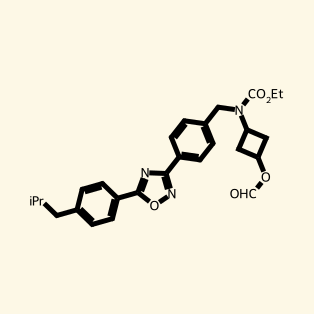 CCOC(=O)N(Cc1ccc(-c2noc(-c3ccc(CC(C)C)cc3)n2)cc1)C1CC(OC=O)C1